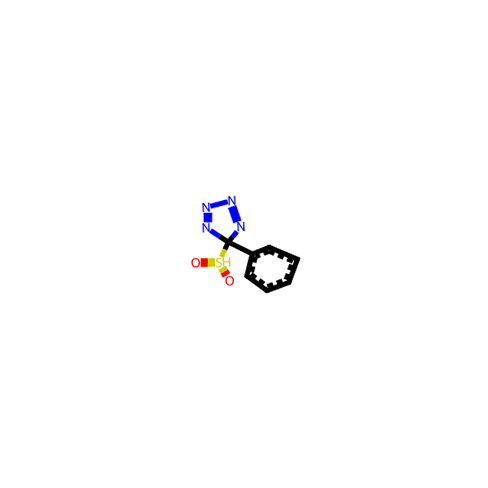 O=[SH](=O)C1(c2ccccc2)N=NN=N1